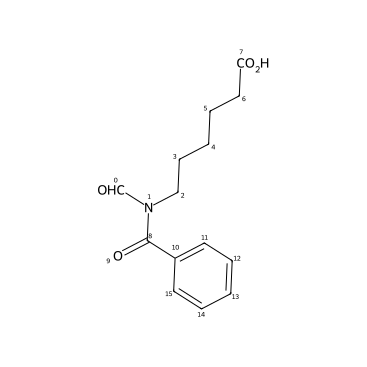 O=CN(CCCCCC(=O)O)C(=O)c1ccccc1